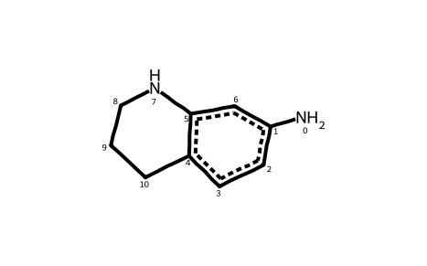 Nc1ccc2c(c1)NCCC2